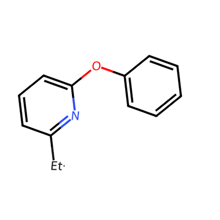 C[CH]c1cccc(Oc2ccccc2)n1